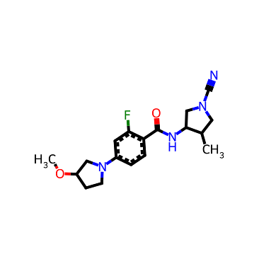 COC1CCN(c2ccc(C(=O)NC3CN(C#N)CC3C)c(F)c2)C1